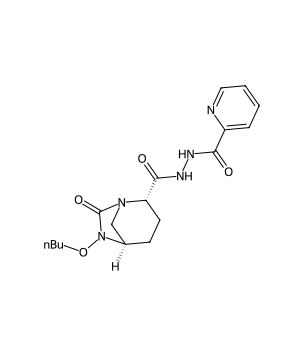 CCCCON1C(=O)N2C[C@H]1CC[C@H]2C(=O)NNC(=O)c1ccccn1